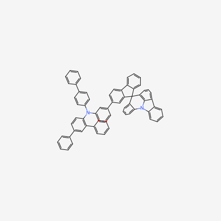 c1ccc(-c2ccc(N(c3cccc(-c4ccc5c(c4)C4(c6ccccc6-5)c5ccccc5-n5c6ccccc6c6cccc4c65)c3)c3ccc(-c4ccccc4)cc3-c3ccccc3)cc2)cc1